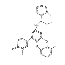 Cc1cccc(F)c1Oc1nc(NC2CCCc3ccccc32)cc(-c2ccc(=O)n(C)c2)n1